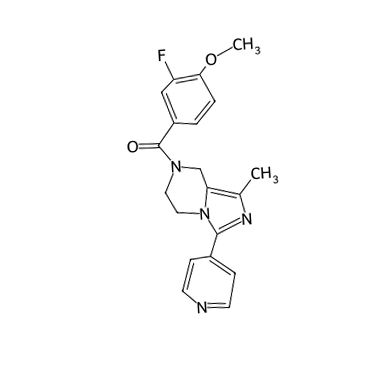 COc1ccc(C(=O)N2CCn3c(-c4ccncc4)nc(C)c3C2)cc1F